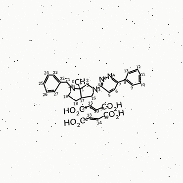 CC12CN(c3ccc(-c4ccccc4)nn3)CC1CCN2Cc1ccccc1.O=C(O)C=CC(=O)O.O=C(O)C=CC(=O)O